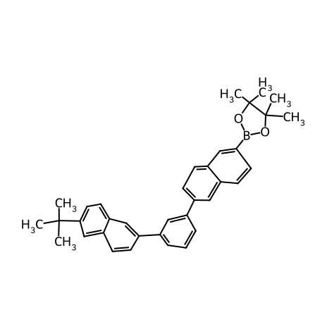 CC(C)(C)c1ccc2cc(-c3cccc(-c4ccc5cc(B6OC(C)(C)C(C)(C)O6)ccc5c4)c3)ccc2c1